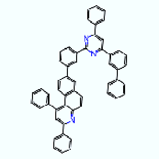 c1ccc(-c2cccc(-c3cc(-c4ccccc4)nc(-c4cccc(-c5ccc6c(ccc7nc(-c8ccccc8)cc(-c8ccccc8)c76)c5)c4)n3)c2)cc1